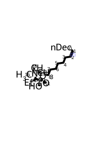 CCCCCCCCCC/C=C\CCCCCCOP(=O)(O)C(CC)[N+](C)(C)C